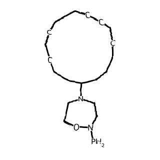 PN1CCN(C2CCCCCCCCCCCCCC2)CCO1